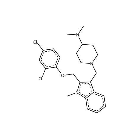 CN(C)C1CCN(Cc2c(COc3ccc(Cl)cc3Cl)n(C)c3ccccc23)CC1